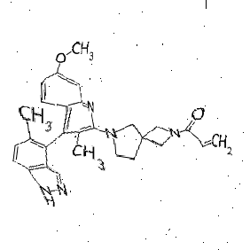 C=CC(=O)N1CC2(CCN(c3nc4cc(OC)ccc4c(-c4c(C)ccc5[nH]ncc45)c3C)C2)C1